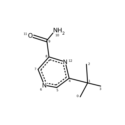 CC(C)(C)c1cncc(C(N)=O)n1